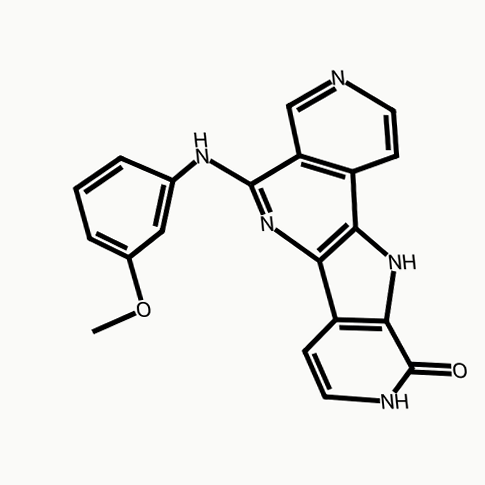 COc1cccc(Nc2nc3c4cc[nH]c(=O)c4[nH]c3c3ccncc23)c1